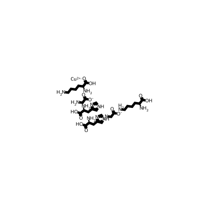 NCC(=O)[O-].NCC(=O)[O-].NCCCC[C@H](N)C(=O)O.NCCCC[C@H](N)C(=O)O.N[C@@H](Cc1c[nH]cn1)C(=O)O.N[C@@H](Cc1c[nH]cn1)C(=O)O.[Cu+2]